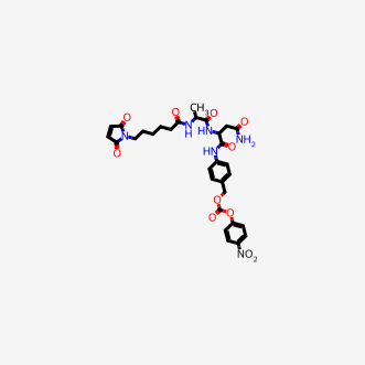 CC(NC(=O)CCCCCN1C(=O)C=CC1=O)C(=O)NC(CC(N)=O)C(=O)Nc1ccc(COC(=O)Oc2ccc([N+](=O)[O-])cc2)cc1